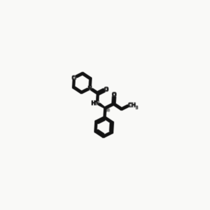 CCC(=O)[C@H](NC(=O)N1CCOCC1)c1ccccc1